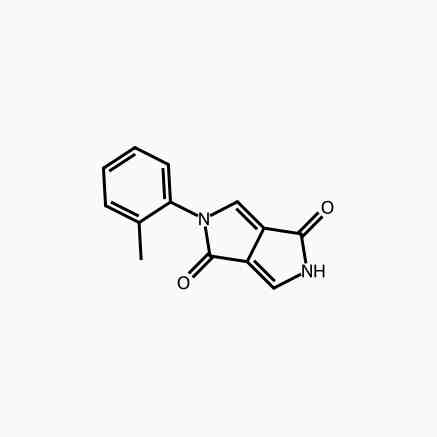 Cc1ccccc1N1C=C2C(=O)NC=C2C1=O